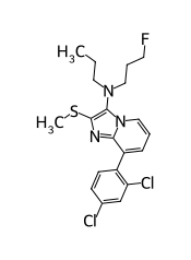 CCCN(CCCF)c1c(SC)nc2c(-c3ccc(Cl)cc3Cl)cccn12